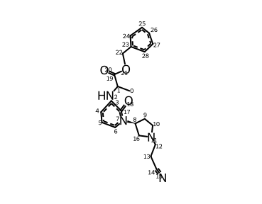 CC(Nc1cccn([C@H]2CCN(CCC#N)C2)c1=O)C(=O)OCc1ccccc1